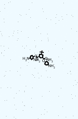 CC(C)(C)c1cc(C(=O)Oc2ccc(N)cc2N)cc(C(=O)Oc2ccc(N)cc2N)c1